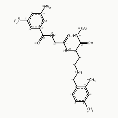 Cc1ccc(CNCCC(NC(=O)CNC(=O)c2cc(N)cc(C(F)(F)F)c2)C(=O)NC(C)(C)C)c(C)c1